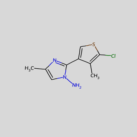 Cc1cn(N)c(-c2csc(Cl)c2C)n1